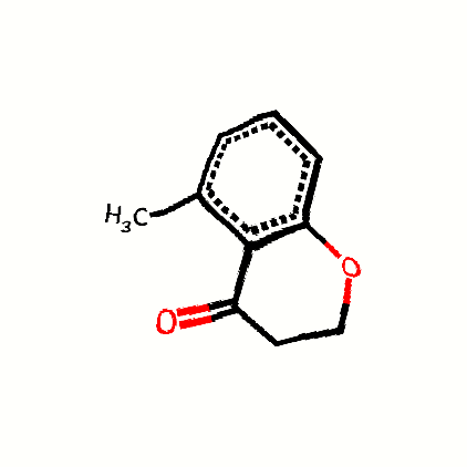 Cc1cccc2c1C(=O)CCO2